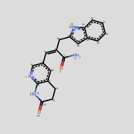 NC(=O)C(=Cc1cnc2c(c1)CCC(=O)N2)Cc1cc2ccccc2[nH]1